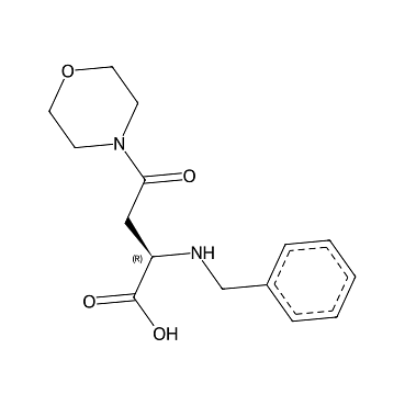 O=C(O)[C@@H](CC(=O)N1CCOCC1)NCc1ccccc1